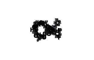 C[C@@H]1C[C@H]2C(=O)OC[C@H](NC(=O)[C@H](Cc3cc(F)cc(F)c3)NC(=O)/C=C/C3CCCCC3)C(=O)N3CCC[C@H]3C(=O)N3CCCC[C@H]3C(=O)N[C@@H](C)C(=O)N2C1